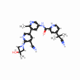 Cc1ncc(NC(=O)c2cc(C(C)(C)C#N)ccn2)cc1-c1cnc(N2CC(C)(O)C2)c(C#N)c1